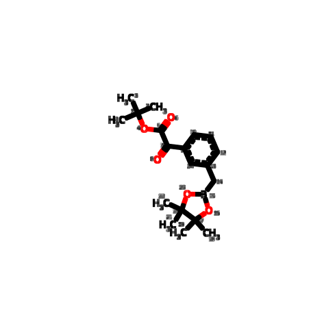 CC(C)(C)OC(=O)C(=O)c1cccc(CB2OC(C)(C)C(C)(C)O2)c1